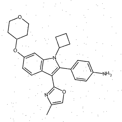 Cc1coc(-c2c(-c3ccc(N)cc3)n(C3CCC3)c3cc(OC4CCOCC4)ccc23)n1